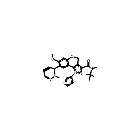 COc1cc2c(cc1C1C#CC=NN1C)-c1c(c(C(=O)N(C)C(C)(C)C)nn1-c1ccsc1)CO2